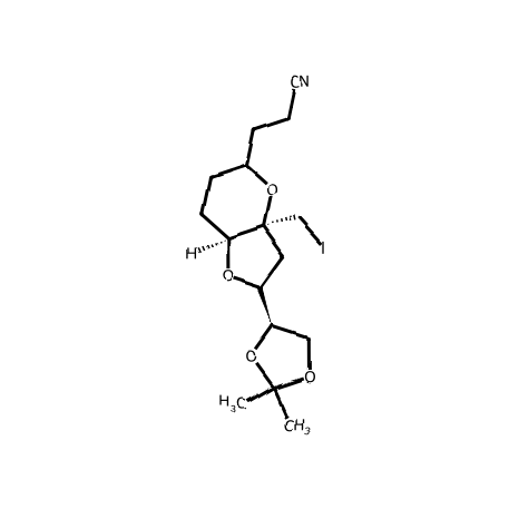 CC1(C)OC[C@H](C2C[C@]3(CI)OC(CCC#N)CC[C@@H]3O2)O1